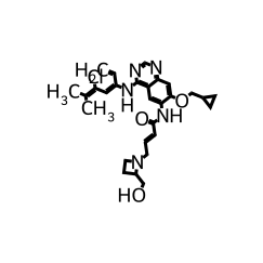 C=C/C(=C\C(Cl)=C(C)C)Nc1ncnc2cc(OCC3CC3)c(NC(=O)/C=C/CN3CCC3CO)cc12